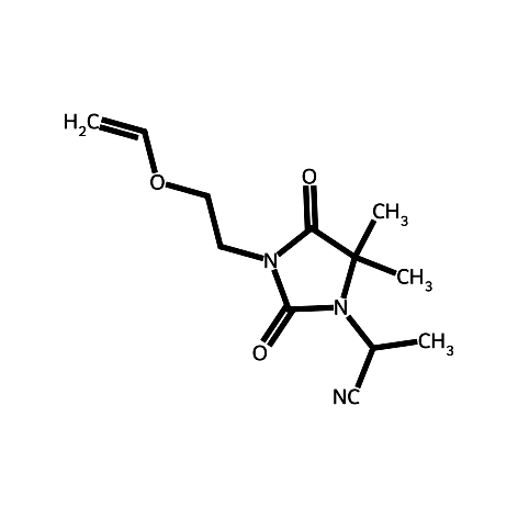 C=COCCN1C(=O)N(C(C)C#N)C(C)(C)C1=O